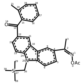 CC(=O)O/N=C(/C)c1ccc2c(c1)c1cc(C(=O)c3ccccc3C)ccc1n2C[Si](C)(C)C